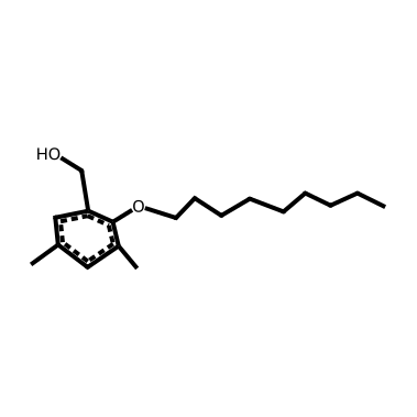 CCCCCCCCCOc1c(C)cc(C)cc1CO